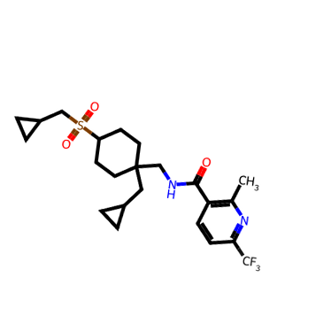 Cc1nc(C(F)(F)F)ccc1C(=O)NCC1(CC2CC2)CCC(S(=O)(=O)CC2CC2)CC1